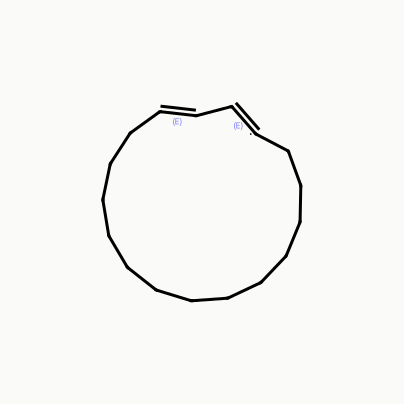 [C]1=C/C=C/CCCCCCCCCCCCC/1